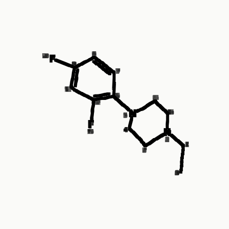 CCN1CCN(c2ccc(F)cc2F)CC1